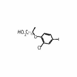 C[C@H](Oc1ccc(I)cc1Cl)C(=O)O